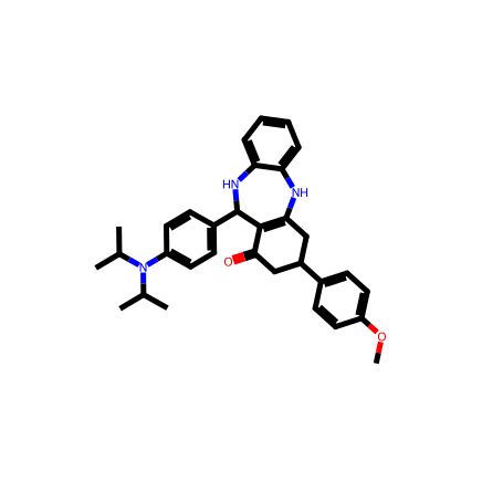 COc1ccc(C2CC(=O)C3=C(C2)Nc2ccccc2NC3c2ccc(N(C(C)C)C(C)C)cc2)cc1